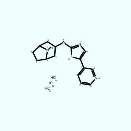 CN1C2CCC1CC(Oc1ncc(-c3cccnc3)s1)C2.Cl.Cl.Cl